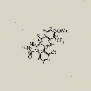 CCc1cccc(-n2nnn(C)c2=O)c1C(O)N=C(C)c1ccc(OC)c(C(F)(F)F)c1